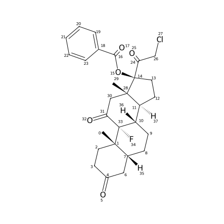 C[C@]12CCC(=O)C[C@H]1CC[C@H]1[C@@H]3CC[C@@](OC(=O)c4ccccc4)(C(=O)CCl)[C@@]3(C)CC(=O)[C@@]12F